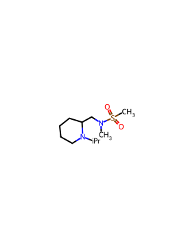 CC(C)N1CCCCC1CN(C)S(C)(=O)=O